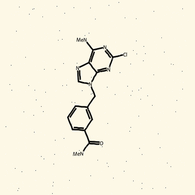 CNC(=O)c1cccc(Cn2cnc3c(NC)nc(Cl)nc32)c1